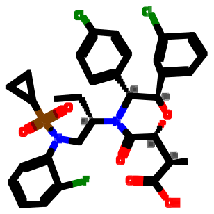 CC[C@@H](CN(c1ccccc1F)S(=O)(=O)C1CC1)N1C(=O)[C@@H]([C@@H](C)C(=O)O)O[C@H](c2cccc(Cl)c2)[C@H]1c1ccc(Cl)cc1